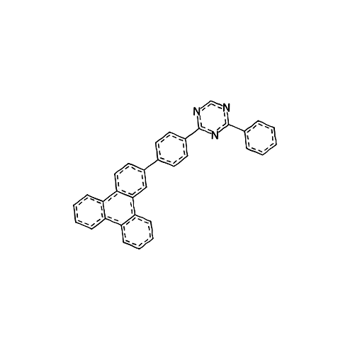 c1ccc(-c2ncnc(-c3ccc(-c4ccc5c6ccccc6c6ccccc6c5c4)cc3)n2)cc1